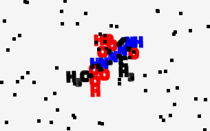 CC(O)OC(=O)NCN(C(=O)OO)C(C)N1CCNC1=O